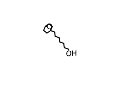 OCCCCCCCC12CCC(CC1)O2